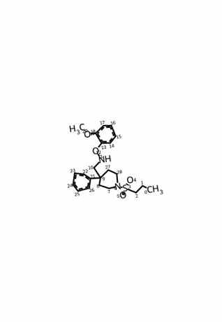 CCCS(=O)(=O)N1CCC(CNOc2ccccc2OC)(c2ccccc2)CC1